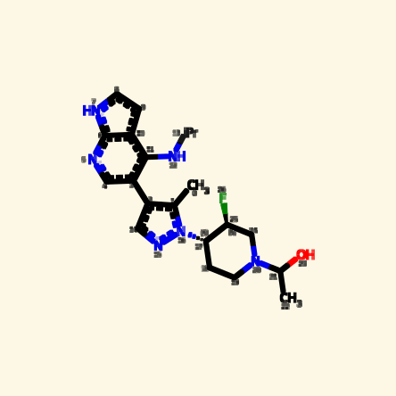 Cc1c(-c2cnc3[nH]ccc3c2NC(C)C)cnn1[C@H]1CCN(C(C)O)C[C@@H]1F